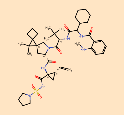 C=C[C@@H]1C[C@]1(NC(=O)[C@@H]1C[C@@]2(CN1C(=O)[C@@H](NC(=O)C(NC(=O)c1ccccc1NC)C1CCCCC1)C(C)(C)C)C(C)(C)C21CCC1)C(=O)NS(=O)(=O)N1CCCC1